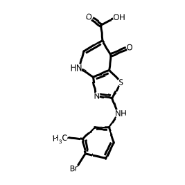 Cc1cc(Nc2nc3[nH]cc(C(=O)O)c(=O)c3s2)ccc1Br